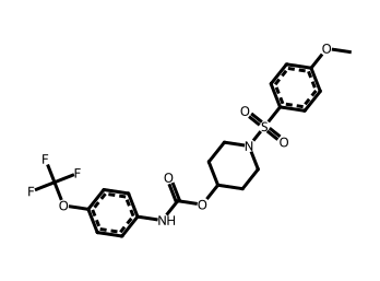 COc1ccc(S(=O)(=O)N2CCC(OC(=O)Nc3ccc(OC(F)(F)F)cc3)CC2)cc1